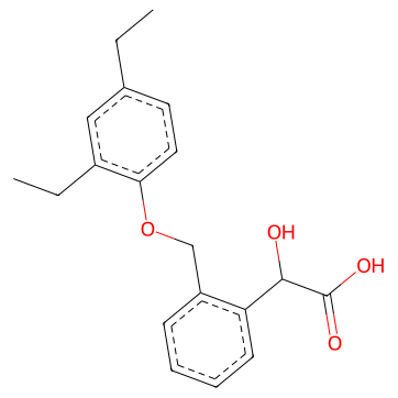 CCc1ccc(OCc2ccccc2C(O)C(=O)O)c(CC)c1